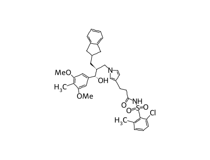 COc1cc([C@@H](O)[C@@H](CC2Cc3ccccc3C2)Cn2ccc(CCC(=O)NS(=O)(=O)c3c(C)cccc3Cl)c2)cc(OC)c1C